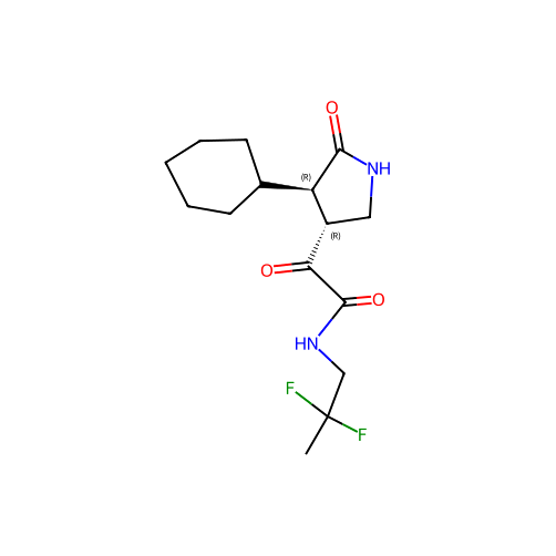 CC(F)(F)CNC(=O)C(=O)[C@H]1CNC(=O)[C@@H]1C1CCCCC1